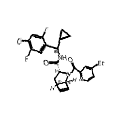 CCc1ccnc(C(=O)N2[C@@H](C(=O)N[C@@H](c3cc(F)c(Cl)cc3F)C3CC3)C[C@H]3C#C[C@H]32)c1